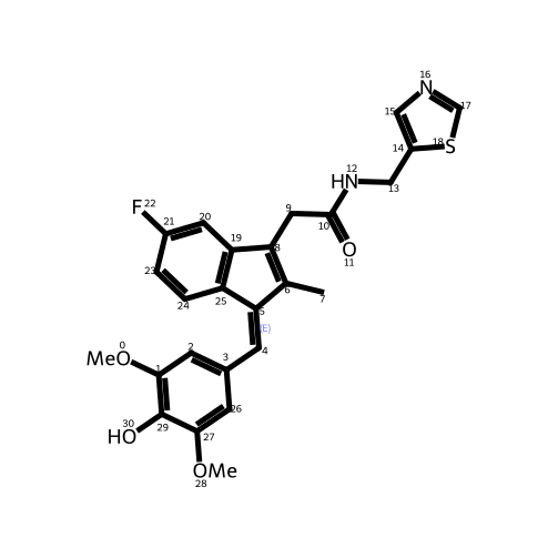 COc1cc(/C=C2/C(C)=C(CC(=O)NCc3cncs3)c3cc(F)ccc32)cc(OC)c1O